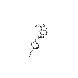 N#Cc1ccc(CNc2ccc3c(c2)B(O)OC3)cc1